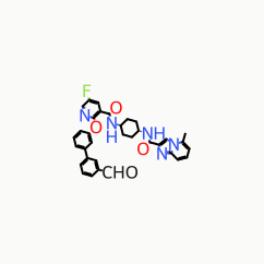 Cc1cccc2nc(C(=O)N[C@H]3CC[C@H](NC(=O)c4cc(F)cnc4Oc4cccc(-c5cccc(C=O)c5)c4)CC3)cn12